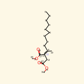 CCCCCCCCC/C(C)=C(/CC(=O)OC)C(=O)OC